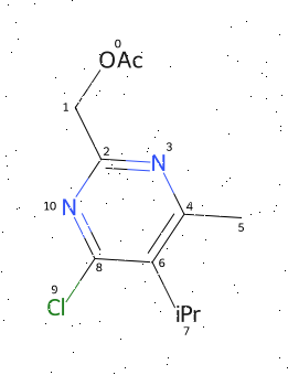 CC(=O)OCc1nc(C)c(C(C)C)c(Cl)n1